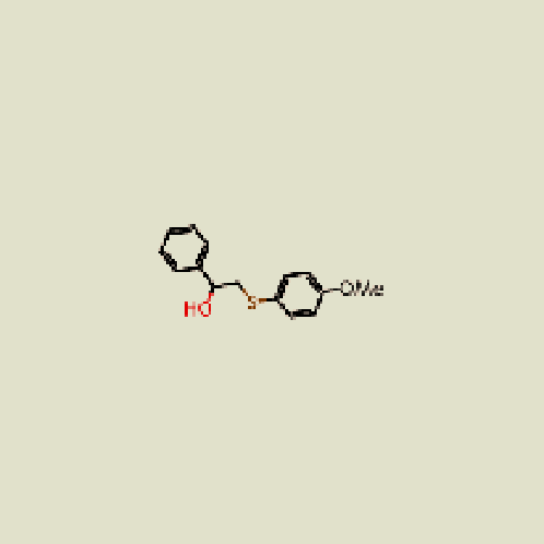 COc1ccc(SCC(O)c2ccccc2)cc1